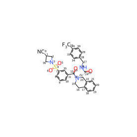 N#CC1CN(S(=O)(=O)c2cccc(C(=O)N3CCc4ccccc4[C@H]3C(=O)NCc3ccc(C(F)(F)F)cc3)c2)C1